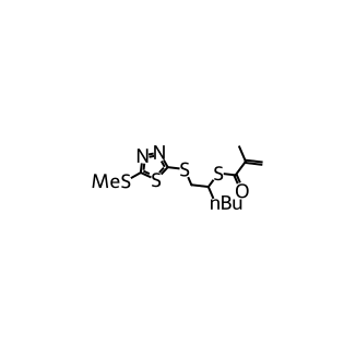 C=C(C)C(=O)SC(CCCC)CSc1nnc(SC)s1